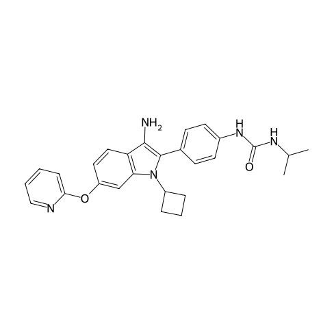 CC(C)NC(=O)Nc1ccc(-c2c(N)c3ccc(Oc4ccccn4)cc3n2C2CCC2)cc1